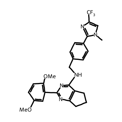 COc1ccc(OC)c(-c2nc3c(c(NCc4ccc(-c5nc(C(F)(F)F)cn5C)cc4)n2)CCC3)c1